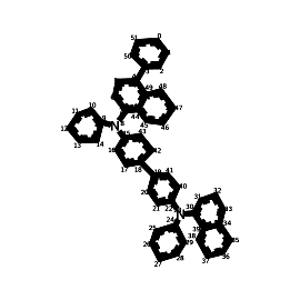 c1ccc(-c2ccc(N(c3ccccc3)c3ccc(-c4ccc(N(c5ccccc5)c5cccc6ccccc56)cc4)cc3)c3ccccc23)cc1